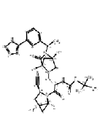 C[C@H](c1cccc(-c2nnn[nH]2)c1)N1C(=O)[C@@H]2C[C@H]1CN2C[C@H](NC(=O)OC(C)(C)C)C(=O)N1[C@H](C#N)C[C@@H]2C[C@@H]21